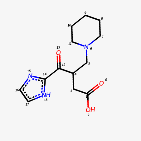 O=C(O)CC(CN1CCCCC1)C(=O)c1ncc[nH]1